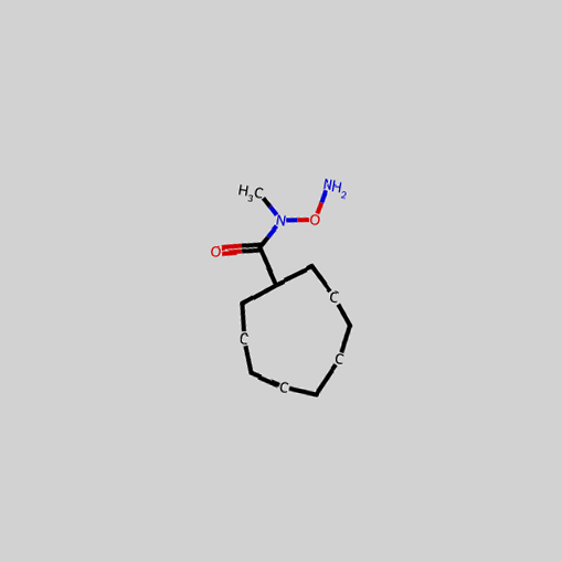 CN(ON)C(=O)C1CCCCCCCCC1